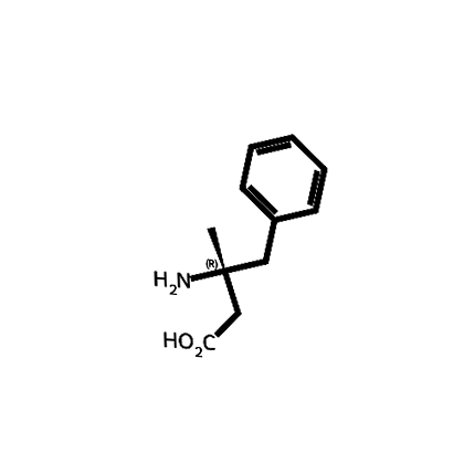 C[C@](N)(CC(=O)O)Cc1ccccc1